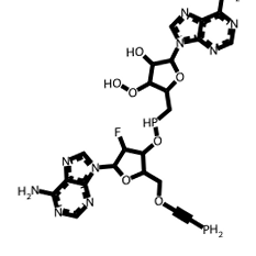 Nc1ncnc2c1ncn2C1OC(CPOC2C(COC#CP)OC(n3cnc4c(N)ncnc43)C2F)C(OO)C1O